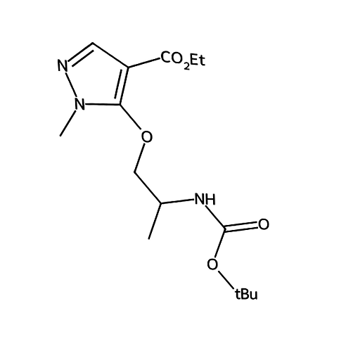 CCOC(=O)c1cnn(C)c1OCC(C)NC(=O)OC(C)(C)C